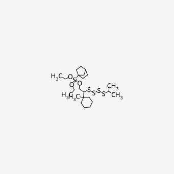 CCO[Si](OCC)(OCC(SSSSC(C)C)C1(C)CCCCC1)C12CCC(CC1)C2